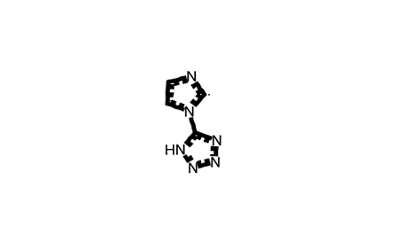 [c]1nccn1-c1nnn[nH]1